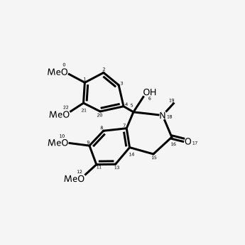 COc1ccc(C2(O)c3cc(OC)c(OC)cc3CC(=O)N2C)cc1OC